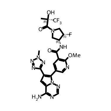 COc1ncc(-c2c(-c3nnn(C)n3)cc3c(N)ncnn23)cc1C(=O)N[C@@H]1CN(C(=O)[C@@](C)(O)C(F)(F)F)C[C@@H]1F